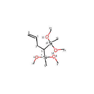 C=CCC([Si](C)(OC)OC)[Si](C)(OC)OC